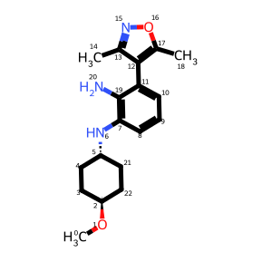 CO[C@H]1CC[C@H](Nc2cccc(-c3c(C)noc3C)c2N)CC1